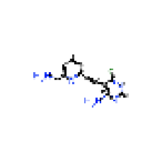 NCc1cccc(C#Cc2c(N)ncnc2Cl)n1